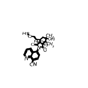 CC12OC(CCOS)(C[C@]1(C)O)[C@H]1C(=O)N(c3ccc(C#N)c4ncccc34)C(=O)[C@H]12